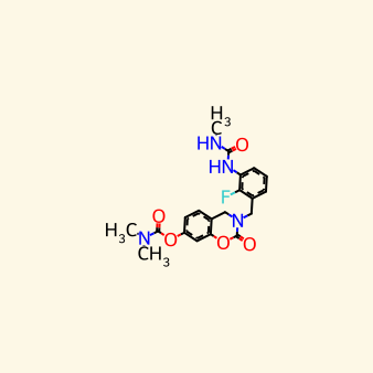 CNC(=O)Nc1cccc(CN2Cc3ccc(OC(=O)N(C)C)cc3OC2=O)c1F